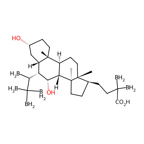 BC([C@H]1[C@@H](O)[C@@H]2[C@H](CC[C@]3(C)[C@@H](CCC(B)(B)C(=O)O)CC[C@@]23C)[C@@]2(C)CC[C@@H](O)C[C@@H]12)C(B)(B)B